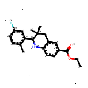 CCOC(=O)c1ccc2c(c1)CC(C)(C)C(c1cc(F)ccc1C)N2